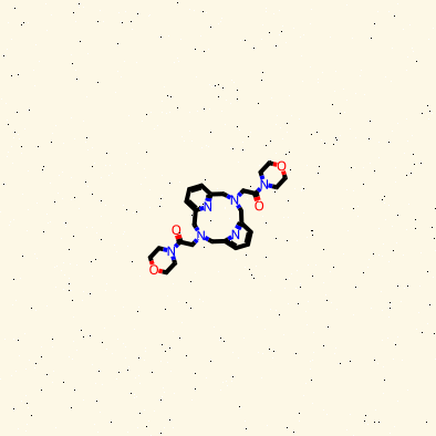 O=C(CN1Cc2cccc(n2)CN(CC(=O)N2CCOCC2)Cc2cccc(n2)C1)N1CCOCC1